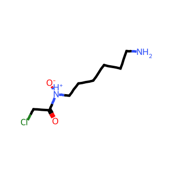 NCCCCCC[NH+]([O-])C(=O)CCl